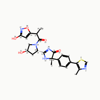 Cc1ncsc1-c1ccc([C@]2(C)NC([C@@H]3C[C@@H](O)CN3C(=O)C(c3cc(O)no3)C(C)C)=NC2=O)cc1